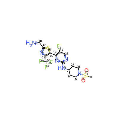 CS(=O)(=O)N1CCC(Nc2ncc(F)c(-c3sc(CN)nc3C(F)(F)F)n2)CC1